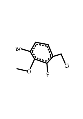 COc1c(Br)ccc(CCl)c1F